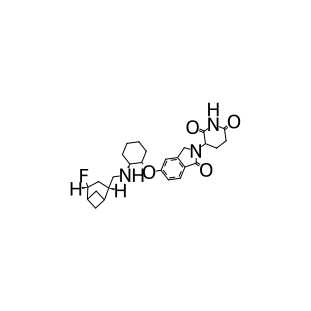 O=C1CCC(N2Cc3cc(O[C@H]4CCCC[C@@H]4NC[C@H]4C[C@@H](F)C5CC4C5)ccc3C2=O)C(=O)N1